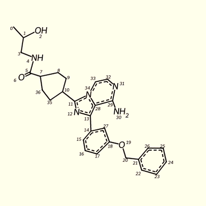 CC(O)CNC(=O)C1CCC(c2nc(-c3cccc(OCc4ccccc4)c3)c3c(N)nccn23)CC1